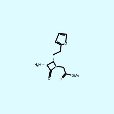 COC(=O)CN1C(=O)[C@H](N)[C@@H]1CCc1ccco1